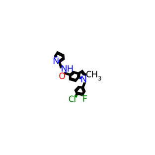 Cc1cc2cc(C(=O)NCc3ccccn3)ccc2n1Cc1ccc(Cl)c(F)c1